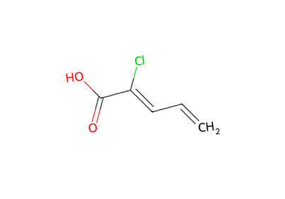 C=C/C=C(\Cl)C(=O)O